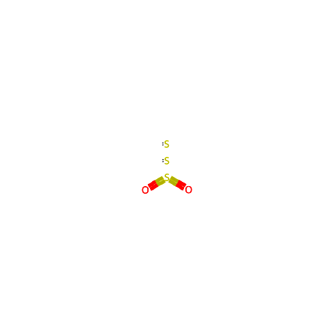 O=S=O.[S].[S]